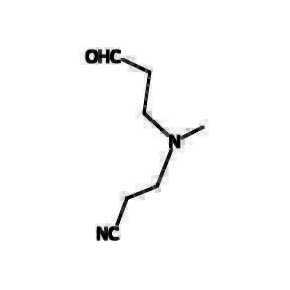 CN(CCC#N)CCC=O